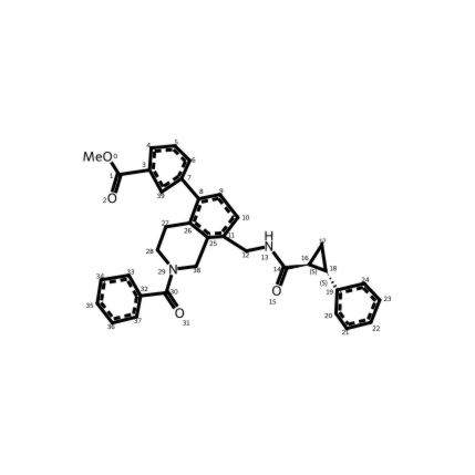 COC(=O)c1cccc(-c2ccc(CNC(=O)[C@H]3C[C@@H]3c3ccccc3)c3c2CCN(C(=O)c2ccccc2)C3)c1